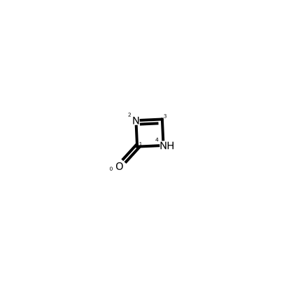 O=C1N=CN1